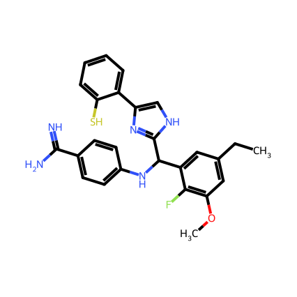 CCc1cc(OC)c(F)c(C(Nc2ccc(C(=N)N)cc2)c2nc(-c3ccccc3S)c[nH]2)c1